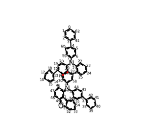 c1ccc(-c2ccc(N(c3ccc(-c4ccccc4)cc3)c3ccccc3-c3cccc(N(c4ccc(-c5ccccc5)cc4)c4cccc5oc6ccccc6c45)c3)cc2)cc1